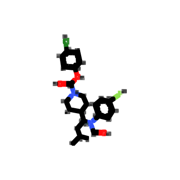 CC(C)CC(C1CCN(C(=O)Oc2ccc(Cl)cc2)CC1)N(C=O)c1ccc(F)cc1